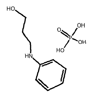 O=P(O)(O)O.OCCCNc1ccccc1